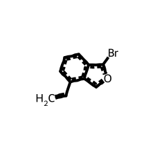 C=Cc1cccc2c(Br)occ12